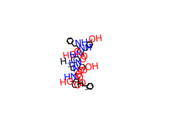 C[C@@H](O)[C@H](NC(=O)[C@H](Cc1ccc(O)cc1)NC(=O)[C@@H](N)Cc1ccccc1)C(=O)N[C@@H](CC(=O)O)C(=O)N1CCC[C@H]1C(=O)N[C@H](C(=O)C(=O)OCc1ccccc1)[C@@H](C)O